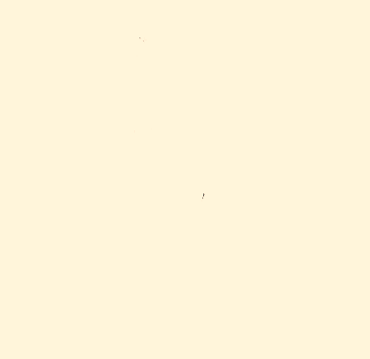 Cc1cc(S(F)(F)(F)(F)F)cc2c1O[C@H](C(F)(F)F)C(C(=O)OCOC(=O)OCCO[N+](=O)[O-])=C2